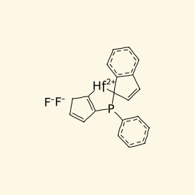 C1=CC2=[C](C1)[Hf+2][C]1(C=Cc3ccccc31)P2c1ccccc1.[F-].[F-]